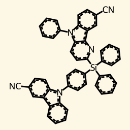 N#Cc1ccc2c(c1)c1ccccc1n2-c1ccc([Si](c2ccccc2)(c2ccccc2)c2ccc3c(n2)c2cc(C#N)ccc2n3-c2ccccc2)cc1